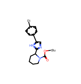 CCc1ccc(-c2cnc(C3CCCCN3C(=O)OC(C)(C)C)[nH]2)cc1